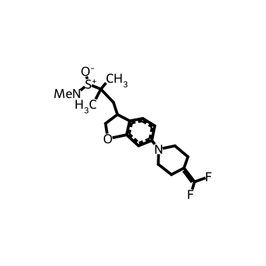 CN[S+]([O-])C(C)(C)CC1COc2cc(N3CCC(=C(F)F)CC3)ccc21